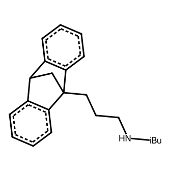 CCC(C)NCCCC12CC(c3ccccc31)c1ccccc12